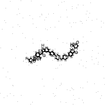 O=C1CCC(N2Cc3cc(N4CCC(CN5CCN(c6ccc(-c7cnc8[nH]cc(C(=O)c9c(F)ccc(NS(=O)(=O)N%10CC[C@@H](F)C%10)c9F)c8c7)cn6)CC5)CC4)ccc3C2=O)C(=O)N1